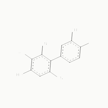 N#Cc1cc(O)c(O)c(C#N)c1-c1ccc(F)c(O)c1